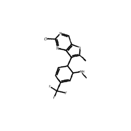 CNC1C=C(C(F)(F)F)C=CC1c1c(C)sc2cnc(Cl)nc12